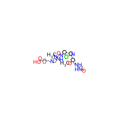 COc1cc(-c2nccc(-c3cccc(NC(=O)c4nc5c(n4C)CN(CCC46CCC(C(=O)O)(CC4)C6)CC5)c3Cl)c2Cl)ccc1CNCC1CCC(=O)N1